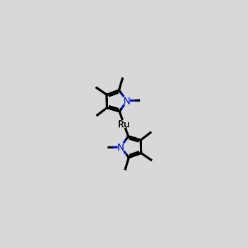 Cc1c(C)[c]([Ru][c]2c(C)c(C)c(C)n2C)n(C)c1C